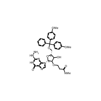 CNC(=O)CCOC1C(O)[C@@H](COC(c2ccccc2)(c2ccc(OC)cc2)c2ccc(OC)cc2)O[C@H]1n1cnc2c(=O)[nH]c(NN)nc21